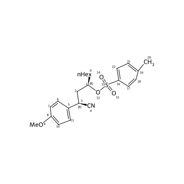 CCCCCC[C@H](C[C@@H](C#N)c1ccc(OC)cc1)OS(=O)(=O)c1ccc(C)cc1